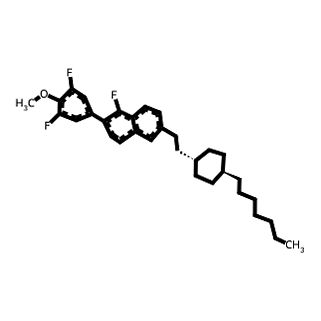 CCCCCCC[C@H]1CC[C@H](CCc2ccc3c(F)c(-c4cc(F)c(OC)c(F)c4)ccc3c2)CC1